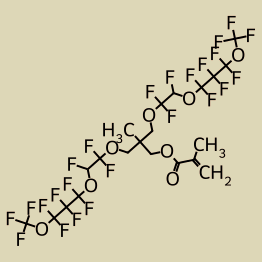 C=C(C)C(=O)OCC(C)(COC(F)(F)C(F)OC(F)(F)C(F)(F)C(F)(F)OC(F)(F)F)COC(F)(F)C(F)OC(F)(F)C(F)(F)C(F)(F)OC(F)(F)F